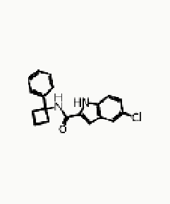 O=C(NC1(c2ccccc2)CCC1)c1cc2cc(Cl)ccc2[nH]1